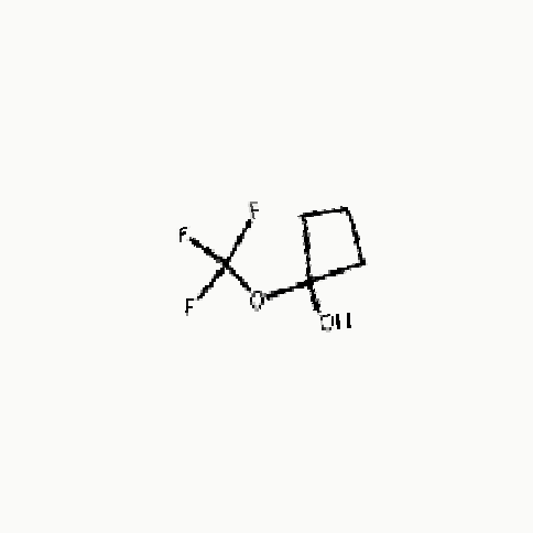 OC1(OC(F)(F)F)CCC1